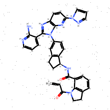 C=CC(=O)N1CCc2cccc(C(=O)N[C@H]3CCc4cc(-n5c(-c6cccnc6N)nc6ccc(-n7cccn7)nc65)ccc43)c21